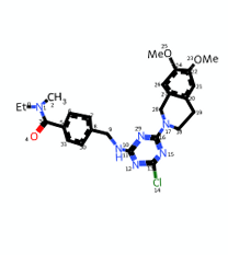 CCN(C)C(=O)c1ccc(CNc2nc(Cl)nc(N3CCc4cc(OC)c(OC)cc4C3)n2)cc1